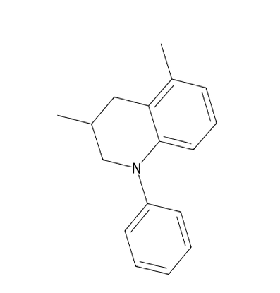 Cc1cccc2c1CC(C)CN2c1ccccc1